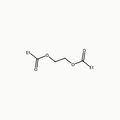 CCC(=O)OCCOC(=O)CC